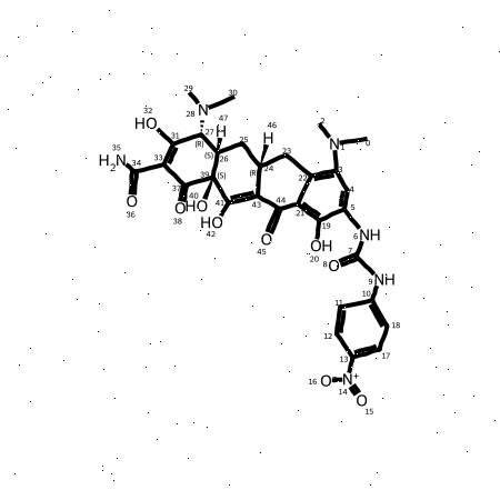 CN(C)c1cc(NC(=O)Nc2ccc([N+](=O)[O-])cc2)c(O)c2c1C[C@H]1C[C@H]3[C@@H](N(C)C)C(O)=C(C(N)=O)C(=O)[C@@]3(O)C(O)=C1C2=O